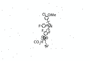 COc1cc(C(C)(C)c2cnc(SCc3c(F)cc(S(=O)(=O)N(CCC[N+](C)(C)C)[C@@H](C)C(=O)O)cc3F)n2-c2ccc(F)cc2)ccc1Cl